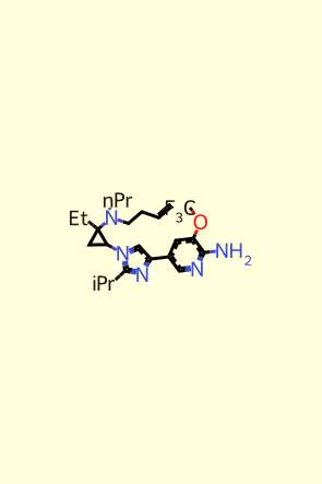 C=CCCN(CCC)C1(CC)CC1n1cc(-c2cnc(N)c(OC(F)(F)F)c2)nc1C(C)C